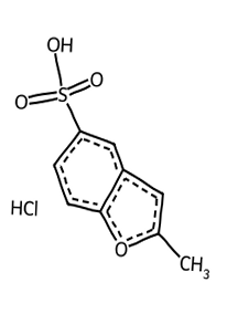 Cc1cc2cc(S(=O)(=O)O)ccc2o1.Cl